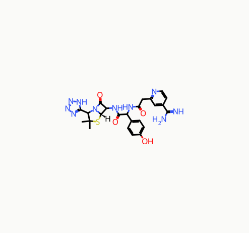 CC1(C)S[C@H]2C(NC(=O)C(NC(=O)Cc3cc(C(=N)N)ccn3)c3ccc(O)cc3)C(=O)N2C1c1nnn[nH]1